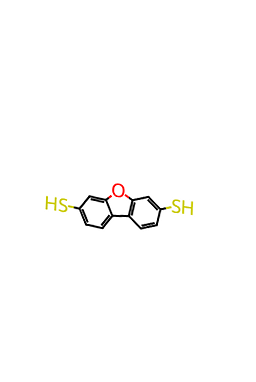 Sc1ccc2c(c1)oc1cc(S)ccc12